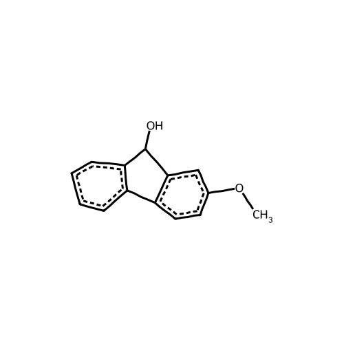 COc1ccc2c(c1)C(O)c1ccccc1-2